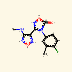 Bc1cc(-n2c(-c3nonc3NC)noc2=O)ccc1F